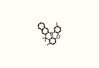 Cc1ccc2c(c1)B1c3cc4ccccc4cc3C(C)(C)c3c(C)ccc(c31)O2